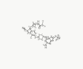 CNc1nc(NC2CCN(Cc3ccc4c(cc(C#N)n4CC45CC(NC(=O)C(C)C)(C4)C5)c3C)CC2)c2cc(CC(F)(F)F)sc2n1